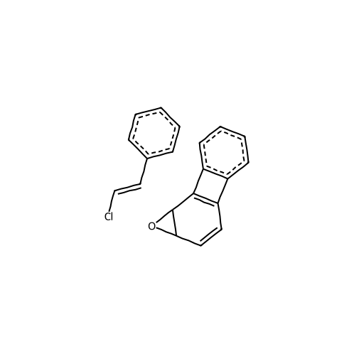 C1=CC2OC2C2=C1c1ccccc12.ClC=Cc1ccccc1